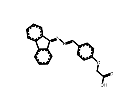 O=C(O)COc1ccc(C=NN=C2c3ccccc3-c3ccccc32)cc1